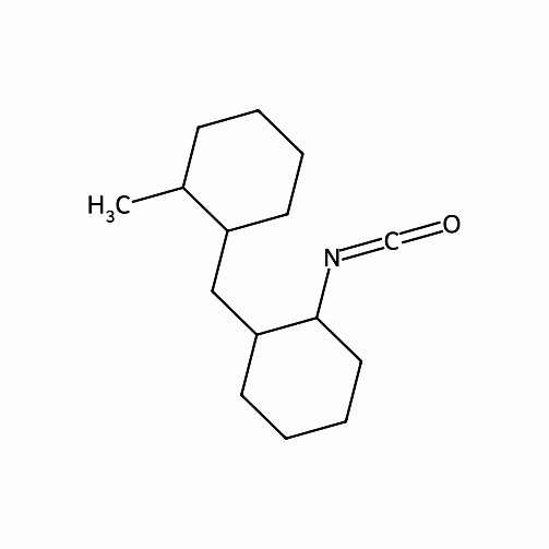 CC1CCCCC1CC1CCCCC1N=C=O